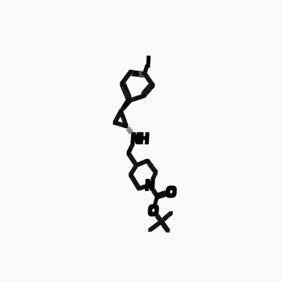 CC(C)(C)OC(=O)N1CCC(CN[C@@H]2C[C@H]2c2ccc(I)cc2)CC1